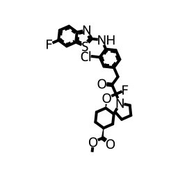 COC(=O)[C@H]1CC[C@H](OC(F)(C(=O)Cc2ccc(Nc3nc4ccc(F)cc4s3)c(Cl)c2)N2CCCC2)CC1